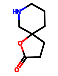 O=C1CCC2(CCCNC2)O1